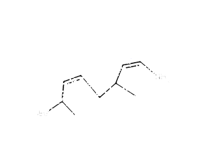 CCC(C)C(C)/C=C\CC(C)/C=C\N